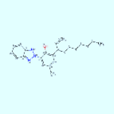 C=CC(CCCCCCC)c1cc(C)cc(-n2nc3ccccc3n2)c1O